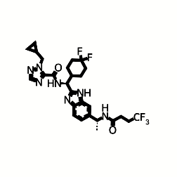 C[C@@H](NC(=O)CCC(F)(F)F)c1ccc2nc([C@@H](NC(=O)c3ncnn3CC3CC3)C3CCC(F)(F)CC3)[nH]c2c1